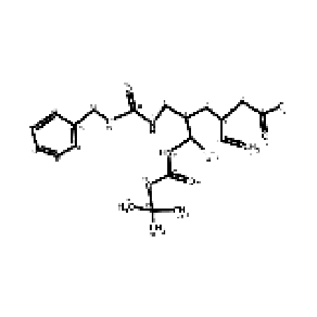 C=CC(CC(=O)O)CC(CNC(=O)OCc1ccccc1)C(C)NC(=O)OC(C)(C)C